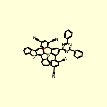 N#Cc1ccc(-c2cc(-c3nc(-c4ccccc4)nc(-c4ccccc4)n3)cc(-c3ccc(C#N)cc3C#N)c2-n2c3ccccc3c3c4sc5ccccc5c4ccc32)c(C#N)c1